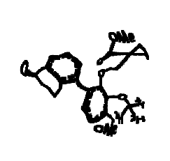 [2H]C([2H])([2H])Oc1c(OC)ccc(-c2cccc3c2CCC3=O)c1OCC1(C(=O)OC)CC1